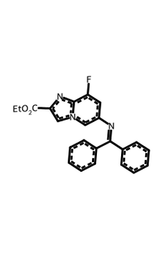 CCOC(=O)c1cn2cc(N=C(c3ccccc3)c3ccccc3)cc(F)c2n1